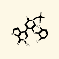 Cc1cccc(C)c1Oc1cn(CC(F)(F)F)c(=O)cc1-c1cn(C)c(=O)c2[nH]ccc12